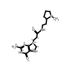 CN1CCCC1CCNC(=O)CCN1CNc2c1nc(N)[nH]c2=O